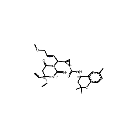 C=C[C@@]1(CC)CC(=O)N(C(/C=C/COC)C2=C[C@H]2C(=O)N[C@H]2CC(C)(C)Oc3ccc(C)cc32)C(=N)N1